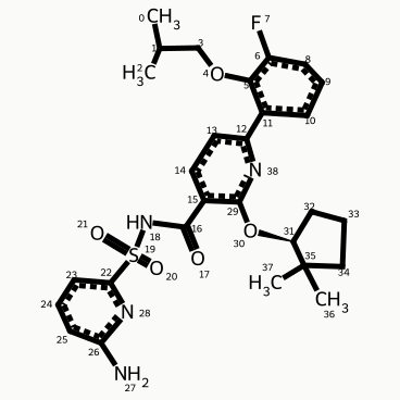 CC(C)COc1c(F)cccc1-c1ccc(C(=O)NS(=O)(=O)c2cccc(N)n2)c(O[C@H]2CCCC2(C)C)n1